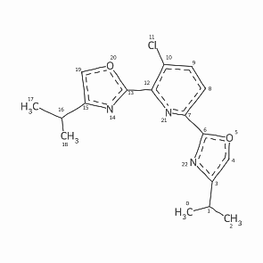 CC(C)c1coc(-c2ccc(Cl)c(-c3nc(C(C)C)co3)n2)n1